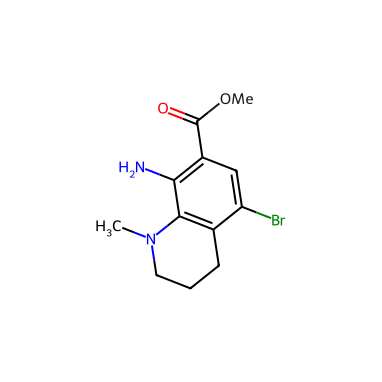 COC(=O)c1cc(Br)c2c(c1N)N(C)CCC2